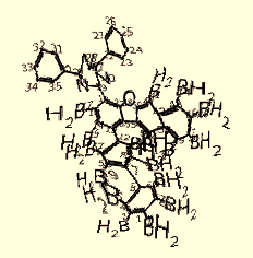 Bc1c(B)c(B)c(-c2c(B)c(B)c(-c3c(B)c(B)c(-c4nc(-c5ccccc5)nc(-c5ccccc5)n4)c4oc5c(B)c6c(B)c(B)c(B)c(B)c6c(B)c5c34)c(B)c2B)c(B)c1B